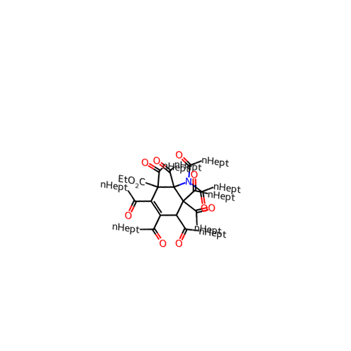 CCCCCCCC(=O)C1=C(C(=O)CCCCCCC)C(C(=O)CCCCCCC)(C(=O)OCC)C(C(=O)CCCCCCC)(N(C(=O)CCCCCCC)C(=O)CCCCCCC)C(C(=O)CCCCCCC)(C(=O)CCCCCCC)C1C(=O)CCCCCCC